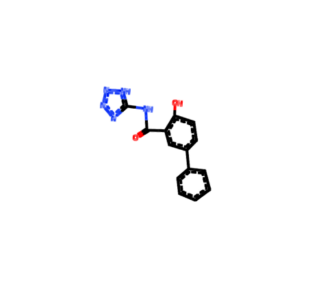 O=C(Nc1nnn[nH]1)c1cc(-c2ccccc2)ccc1O